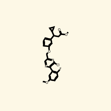 COC(=O)CC(c1cccc(OCc2cnc(-c3cc(OC)ccc3F)c(Cl)n2)c1)C1CC1